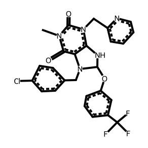 Cn1c(=O)c2c(n(Cc3ccccn3)c1=O)NC(Oc1cccc(C(F)(F)F)c1)N2Cc1ccc(Cl)cc1